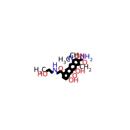 C=C1C(C(N)=O)=C(O)[C@@H](N(C)C)C2CC3Cc4c(C(=O)CNCCC(C)O)ccc(O)c4C(=O)C3=C(O)C12